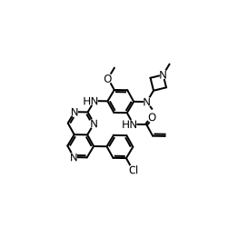 C=CC(=O)Nc1cc(Nc2ncc3cncc(-c4cccc(Cl)c4)c3n2)c(OC)cc1N(C)C1CN(C)C1